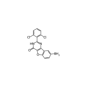 Bc1ccc2oc3c(=O)[nH]c(-c4c(Cl)cccc4Cl)nc3c2c1